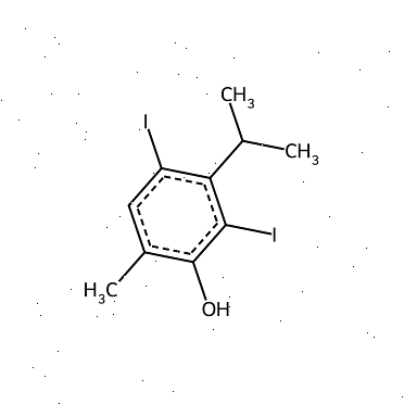 Cc1cc(I)c(C(C)C)c(I)c1O